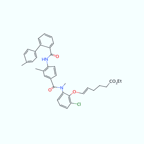 CCOC(=O)CCC/C=C/Oc1c(Cl)cccc1N(C)C(=O)c1ccc(NC(=O)c2ccccc2-c2ccc(C)cc2)c(C)c1